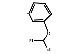 CCC(CC)Oc1c[c]ccc1